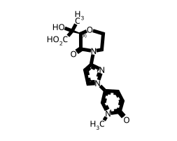 Cn1cc(-n2ccc(N3CCO[C@H](C(C)(O)C(=O)O)C3=O)n2)ccc1=O